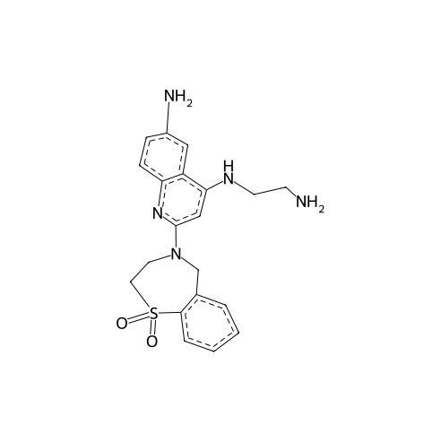 NCCNc1cc(N2CCS(=O)(=O)c3ccccc3C2)nc2ccc(N)cc12